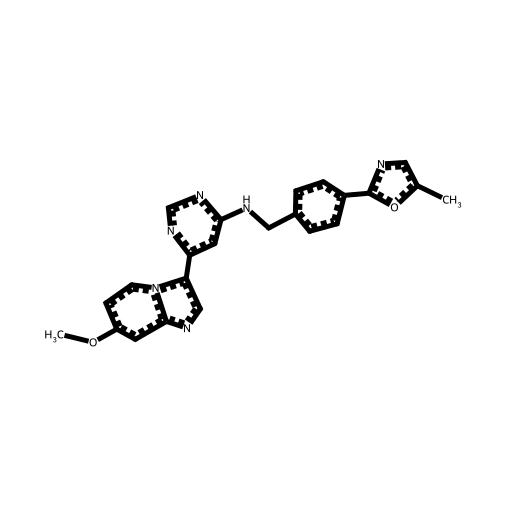 COc1ccn2c(-c3cc(NCc4ccc(-c5ncc(C)o5)cc4)ncn3)cnc2c1